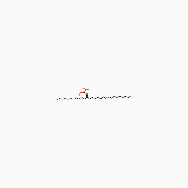 CCCCCCCCCCCCCCCC[C@H](CCCCCCCCCCC)CC(=O)O